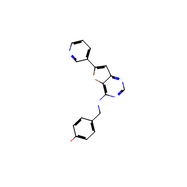 Oc1ccc(CNc2ncnc3cc(-c4cccnc4)sc23)cc1